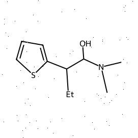 CCC(c1cccs1)C(O)N(C)C